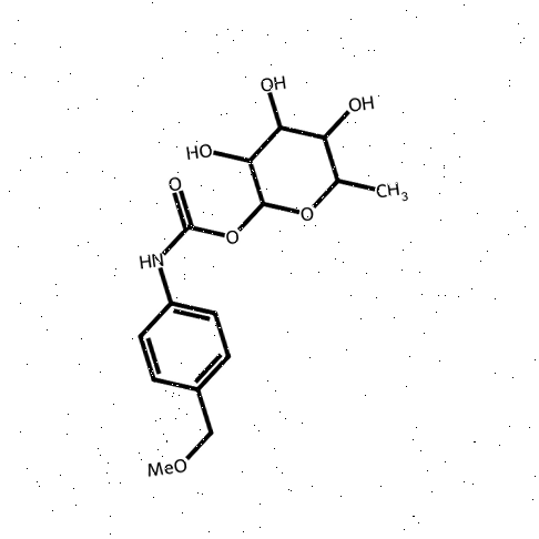 COCc1ccc(NC(=O)OC2OC(C)C(O)C(O)C2O)cc1